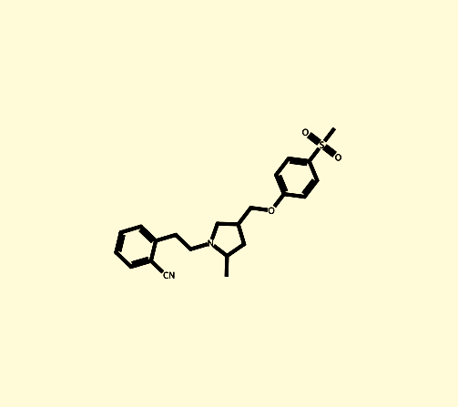 CC1CC(COc2ccc(S(C)(=O)=O)cc2)CN1CCc1ccccc1C#N